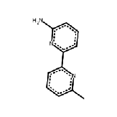 Cc1cccc(-c2cccc(N)n2)n1